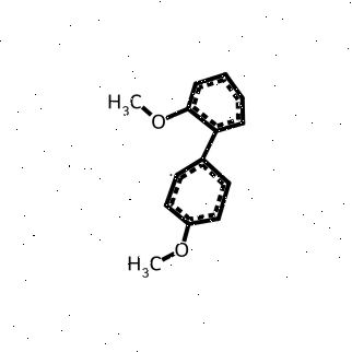 COc1c[c]c(-c2ccccc2OC)cc1